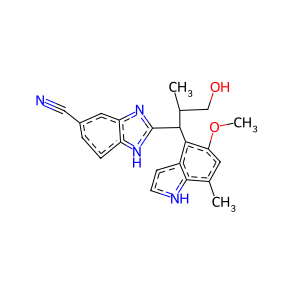 COc1cc(C)c2[nH]ccc2c1C(c1nc2cc(C#N)ccc2[nH]1)C(C)CO